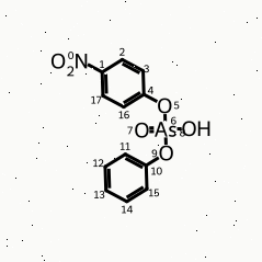 O=[N+]([O-])c1ccc(O[As](=O)(O)Oc2ccccc2)cc1